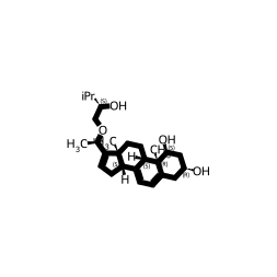 CC(C)[C@H](O)CO[C@H](C)C1=CC[C@H]2C3=CC=C4C[C@@H](O)C[C@H](O)[C@]4(C)[C@H]3CC[C@]12C